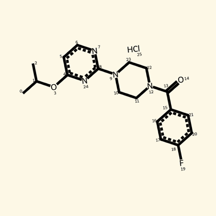 CC(C)Oc1ccnc(N2CCN(C(=O)c3ccc(F)cc3)CC2)n1.Cl